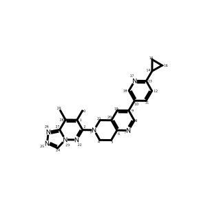 Cc1c(N2CCc3ncc(-c4ccc(C5CC5)nc4)cc3C2)nn2cnnc2c1C